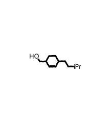 CC(C)CCC1C=CC(CO)CC1